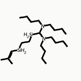 CCCCN(CCCC)C([SiH2]CC[SiH2]C=C(C)C)N(CCCC)CCCC